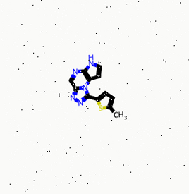 Cc1ccc(-c2nnc3cnc4[nH]ccc4n23)s1